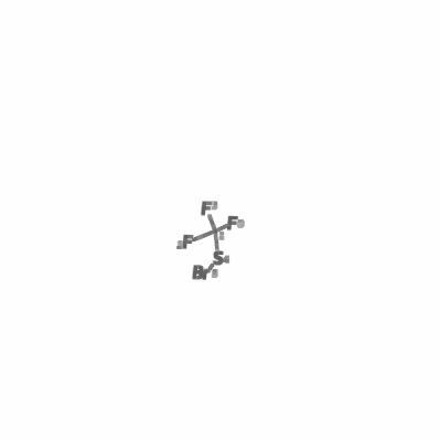 FC(F)(F)SBr